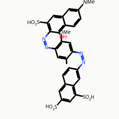 CNc1ccc2c(O)c(/N=N\c3cc(C)c(/N=N\c4ccc5cc(S(=O)(=O)O)cc(S(=O)(=O)O)c5c4)cc3OC)c(S(=O)(=O)O)cc2c1